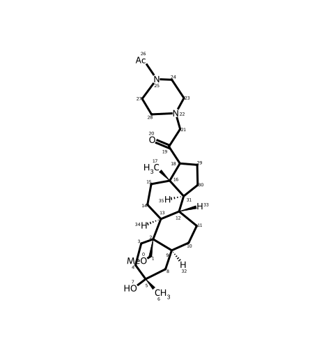 COC[C@]12CC[C@@](C)(O)C[C@@H]1CC[C@@H]1[C@@H]2CC[C@]2(C)C(C(=O)CN3CCN(C(C)=O)CC3)CC[C@@H]12